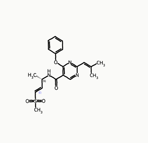 CC(C)=Cc1ncc(C(=O)N[C@@H](C)/C=C/S(C)(=O)=O)c(Oc2ccccc2)n1